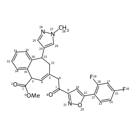 COC(=O)C1C=C(CC(=O)c2cc(-c3ccc(F)cc3F)on2)CC(c2cnn(C)c2)c2ccccc21